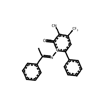 [C-]#[N+]c1c(C(F)(F)F)cc(-c2ccccc2)n(/N=C(\C)c2ccccc2)c1=O